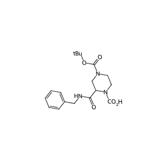 CC(C)(C)OC(=O)N1CCN(C(=O)O)C(C(=O)NCc2ccccc2)C1